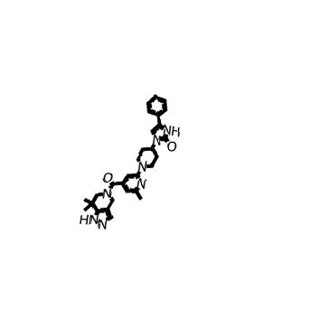 Cc1cc(C(=O)N2Cc3cn[nH]c3C(C)(C)C2)cc(N2CCC(n3cc(-c4ccccc4)[nH]c3=O)CC2)n1